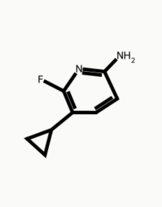 Nc1ccc(C2CC2)c(F)n1